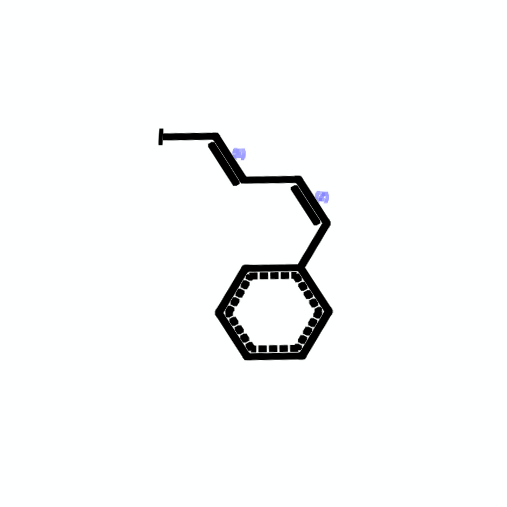 I/C=C/C=C\c1ccccc1